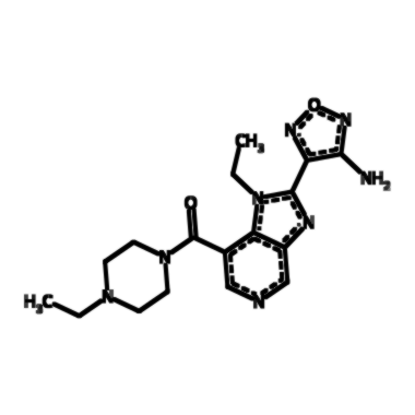 CCN1CCN(C(=O)c2cncc3nc(-c4nonc4N)n(CC)c23)CC1